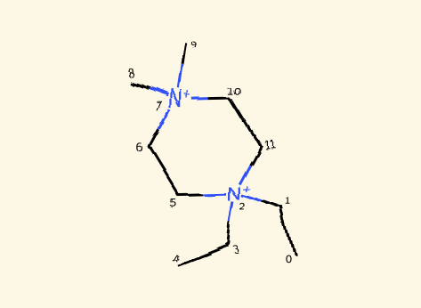 CC[N+]1(CC)CC[N+](C)(C)CC1